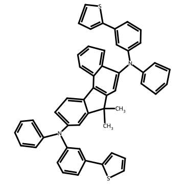 CC1(C)c2cc(N(c3ccccc3)c3cccc(-c4cccs4)c3)ccc2-c2c1cc(N(c1ccccc1)c1cccc(-c3cccs3)c1)c1ccccc21